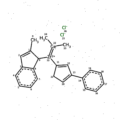 CC1=Cc2ccccc2[CH]1[Zr+2]([C]1=CC(c2ccccc2)=CC1)=[Ge]([CH3])[CH3].[Cl-].[Cl-]